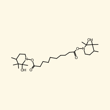 CC1CCN(OC(=O)CCCCCCCCC(=O)ON2CCC(C)C(C)(C)C2(C)O)C(C)(O)C1(C)C